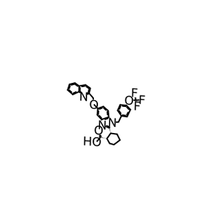 O=C(O)[C@H]1CCCC[C@H]1c1nc2cc(OCc3ccc4ccccc4n3)ccc2n1Cc1ccc(OC(F)(F)F)cc1